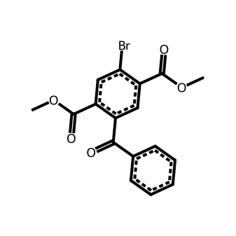 COC(=O)c1cc(C(=O)c2ccccc2)c(C(=O)OC)cc1Br